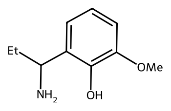 CCC(N)c1cccc(OC)c1O